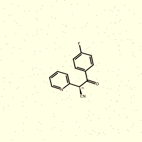 N#C[C@H](C(=O)c1ccc(F)cc1)c1ccccn1